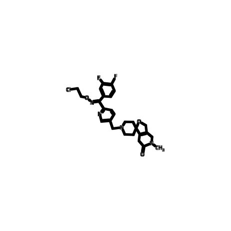 CN1CC2=C(CC1=O)C1(CCN(Cc3ccc(C(=NOCCCl)c4ccc(F)c(F)c4)nc3)CC1)OC2